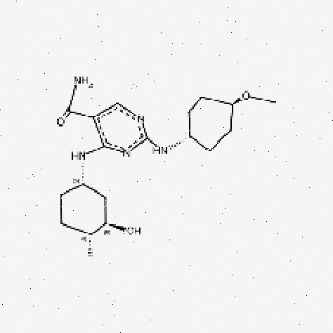 CO[C@H]1CC[C@H](Nc2ncc(C(N)=O)c(N[C@H]3CC[C@@H](C)[C@H](O)C3)n2)CC1